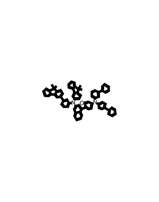 CC1(C)c2ccccc2-c2cc(-c3cccc(N(c4ccc5c(c4)-c4ccccc4C5(C)C)c4cc5ccccc5c5c4oc4cc(N(c6ccc(-c7ccccc7)cc6)c6cccc(-c7ccccc7)c6)ccc45)c3)ccc21